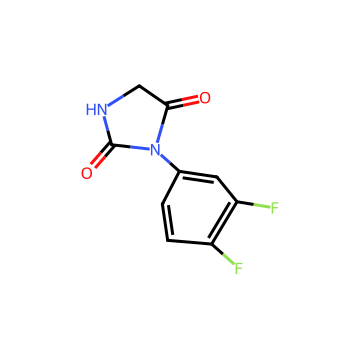 O=C1CNC(=O)N1c1ccc(F)c(F)c1